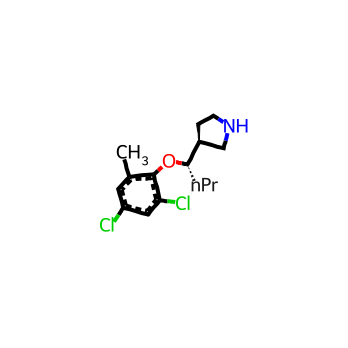 CCC[C@H](Oc1c(C)cc(Cl)cc1Cl)[C@H]1CCNC1